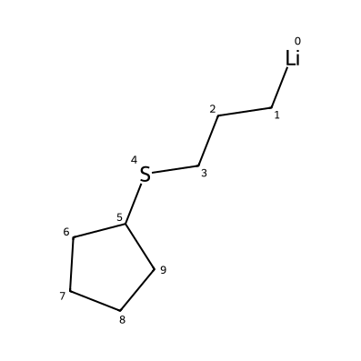 [Li][CH2]CCSC1CCCC1